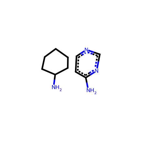 NC1CCCCC1.Nc1ccncn1